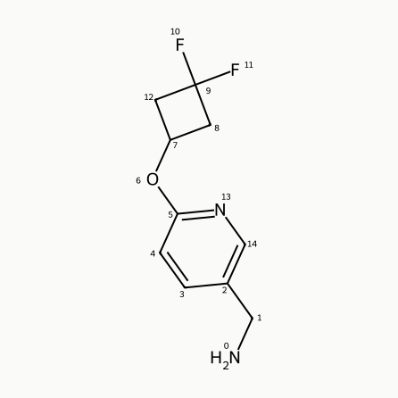 NCc1ccc(OC2CC(F)(F)C2)nc1